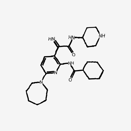 N=C(C(=O)NC1CCNCC1)c1ccc(N2CCCCCC2)nc1NC(=O)C1CCCCC1